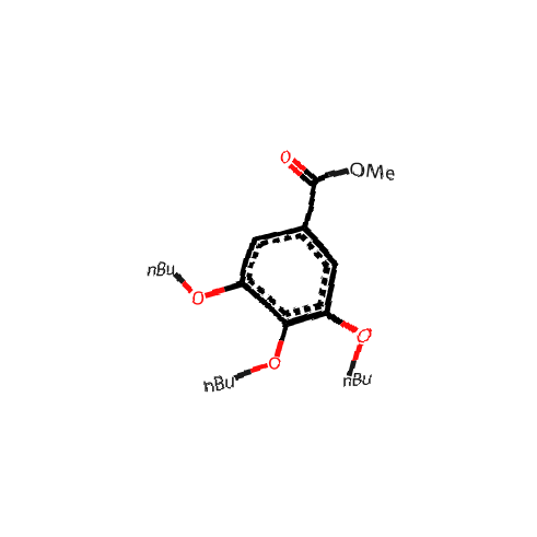 CCCCOc1cc(C(=O)OC)cc(OCCCC)c1OCCCC